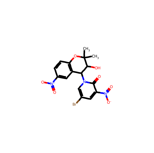 CC1(C)Oc2ccc([N+](=O)[O-])cc2C(n2cc(Br)cc([N+](=O)[O-])c2=O)C1O